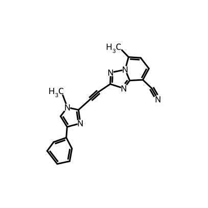 Cc1ccc(C#N)c2nc(C#Cc3nc(-c4ccccc4)cn3C)nn12